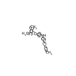 COc1cc(OC)c(F)c(COc2cnc(Nc3ccc(N4CCC(N5CCN(C)CC5)CC4)nc3)nc2)c1F